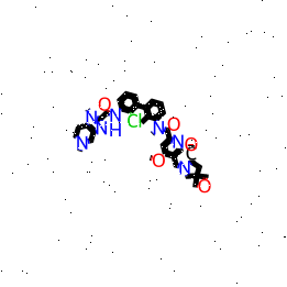 COc1cc(C(=O)N(C)c2cccc(-c3cccc(NC(=O)c4nc5c(n4C)CCN(C)C5)c3Cl)c2C)ncc1CN1CC2(COC2)CC1=C=O